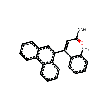 CNC(=O)/C=C(\c1ccccc1C)c1cc2ccccc2c2ccccc12